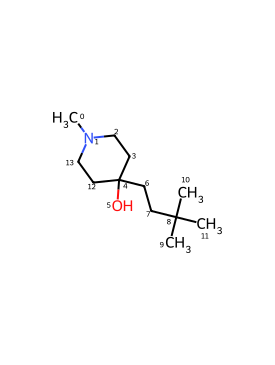 CN1CCC(O)(CCC(C)(C)C)CC1